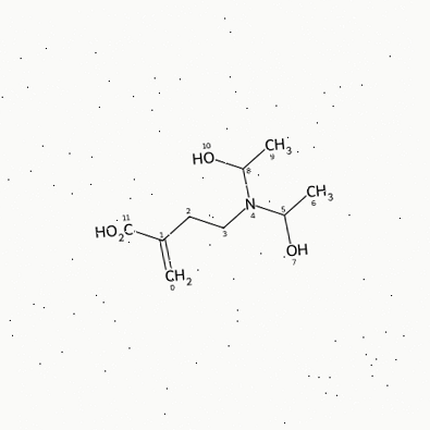 C=C(CCN(C(C)O)C(C)O)C(=O)O